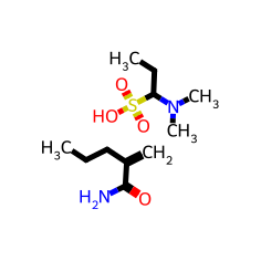 C=C(CCC)C(N)=O.CCC(N(C)C)S(=O)(=O)O